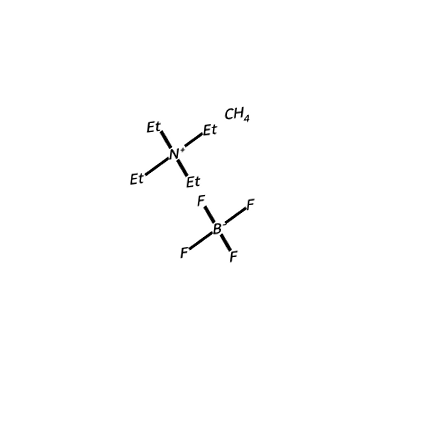 C.CC[N+](CC)(CC)CC.F[B-](F)(F)F